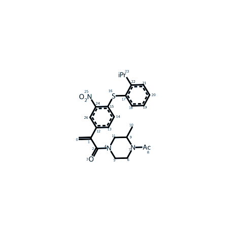 C=C(C(=O)N1CCN(C(C)=O)C(C)C1)c1ccc(Sc2ccccc2C(C)C)c([N+](=O)[O-])c1